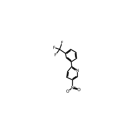 O=[N+]([O-])c1ccc(-c2cccc(C(F)(F)F)c2)nc1